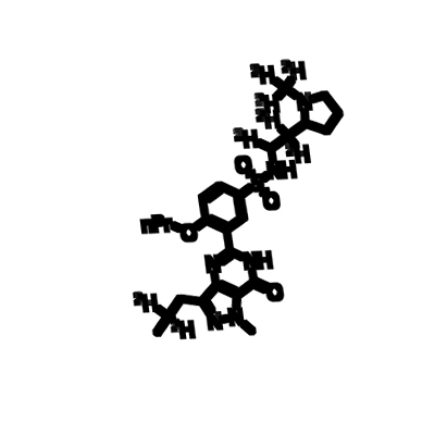 [2H]C(NS(=O)(=O)c1ccc(OCCC)c(-c2nc3c(CC([2H])([2H])C)nn(C)c3c(=O)[nH]2)c1)C([2H])([2H])C1CCCN1C([2H])([2H])[2H]